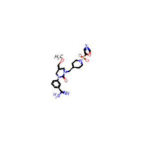 COCC1CN(CC2CCN(S(=O)(=O)c3cnco3)CC2)C(=O)N(c2cccc(C(=N)N)c2)C1